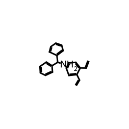 C=Cc1ccccc1C=C.NC(c1ccccc1)c1ccccc1